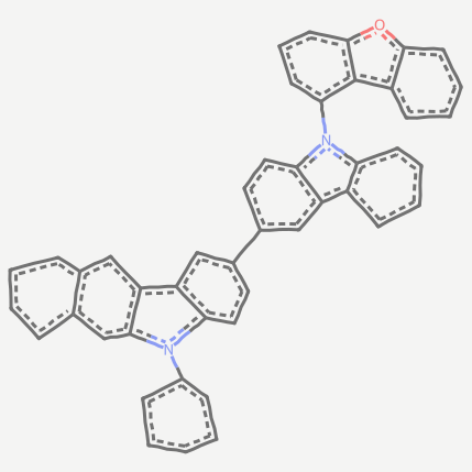 c1ccc(-n2c3ccc(-c4ccc5c(c4)c4ccccc4n5-c4cccc5oc6ccccc6c45)cc3c3cc4ccccc4cc32)cc1